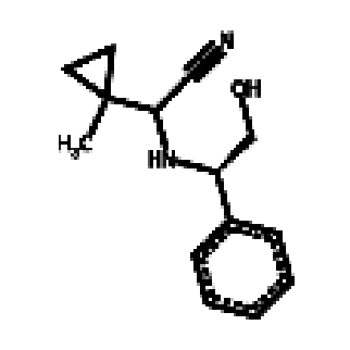 CC1(C(C#N)N[C@@H](CO)c2ccccc2)CC1